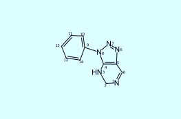 C1=NCNc2c1nnn2-c1ccccc1